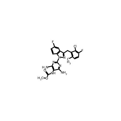 COC(=O)Nc1c(N)nc(-n2nc(Cc3c(C)ccc(F)c3Cl)c3cc(F)ccc32)nc1N